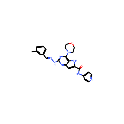 Cc1cccc(/C=N/Nc2nc(N3CCOCC3)c3[nH]c(C(=O)Nc4ccncc4)cc3n2)c1